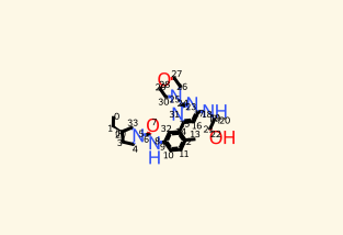 CC[C@@H]1CCN(C(=O)Nc2ccc(C)c(-c3cc(N[C@H](C)CO)nc(N4CCOCC4)n3)c2)C1